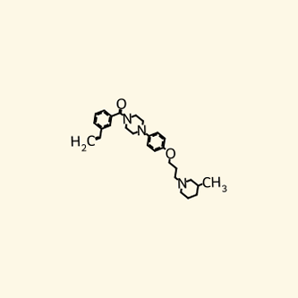 C=Cc1cccc(C(=O)N2CCN(c3ccc(OCCCN4CCCC(C)C4)cc3)CC2)c1